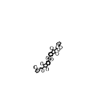 O=C(CN1CCCC1=O)C1C(=O)c2ccc(S(=O)(=O)c3ccc4c(c3)C(=O)C(C(=O)CN3CCCC3=O)C4=O)cc2C1=O